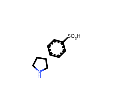 C1CCNC1.O=S(=O)(O)c1ccccc1